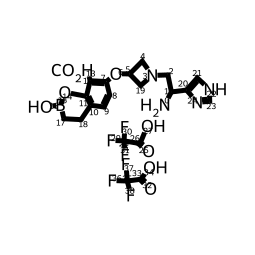 NC(CN1CC(Oc2ccc3c(c2C(=O)O)OB(O)CC3)C1)c1c[nH]cn1.O=C(O)C(F)(F)F.O=C(O)C(F)(F)F